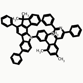 Cc1cc(C)c(-c2cc(-n3c4ccc(-c5ccccc5)cc4c4cc(-c5ccccc5)c5c(c43)-c3ccccc3C5(C)C)ccc2C)c(-c2cc(-c3ccccc3)nc(-c3ccccc3)n2)c1